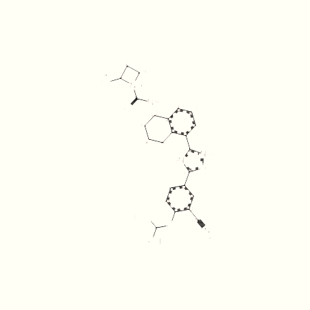 CC(C)Oc1ccc(-c2nc(-c3cccc4c3CCC[C@@H]4NC(=O)N3CCC3O)no2)cc1C#N